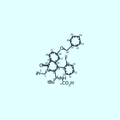 CC(C)Cn1c(C(NC(=O)O)C(C)(C)C)c(-c2ccccc2F)c2cc(OCc3ccccc3)ccc2c1=O